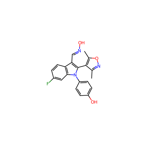 Cc1noc(C)c1-c1c(C=NO)c2ccc(F)cc2n1-c1ccc(O)cc1